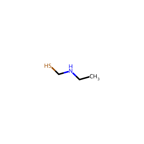 CCNCS